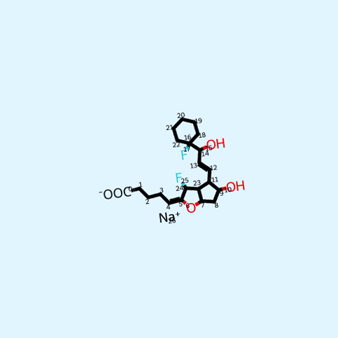 O=C([O-])CCCC=C1OC2CC(O)C(C=CC(O)C3(F)CCCCC3)C2C1F.[Na+]